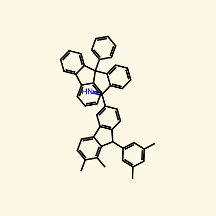 Cc1cc(C)cc(C2c3ccc(C(=N)c4ccccc4C4(c5ccccc5)c5ccccc5-c5ccccc54)cc3-c3ccc(C)c(C)c32)c1